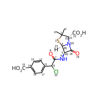 CC1(C)S[C@@H]2[C@H](NC(=O)C(Cl)c3ccc(C(=O)O)cc3)C(=O)N2[C@H]1C(=O)O